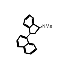 CN[C@H]1C[C@@H](c2cccc3ccccc23)c2ccccc21